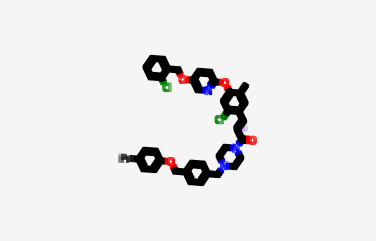 Cc1cc(/C=C/C(=O)N2CCN(Cc3ccc(COc4ccc(C(C)C)cc4)cc3)CC2)c(Cl)cc1Oc1ccc(OCc2ccccc2Cl)cn1